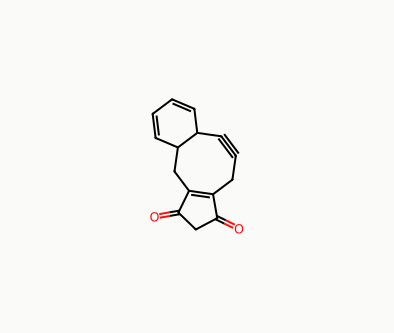 O=C1CC(=O)C2=C1CC#CC1C=CC=CC1C2